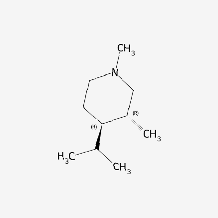 CC(C)[C@H]1CCN(C)C[C@@H]1C